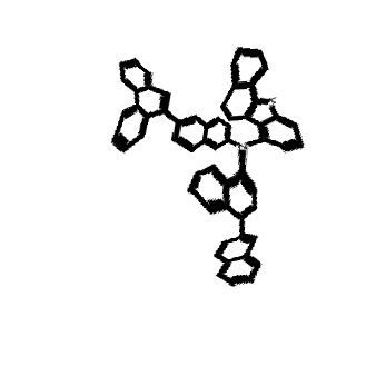 c1ccc2cc(-c3ccc(N(c4ccc5cc(-c6cc7ccccc7c7ccccc67)ccc5c4)c4cccc5sc6c7ccccc7ccc6c45)c4ccccc34)ccc2c1